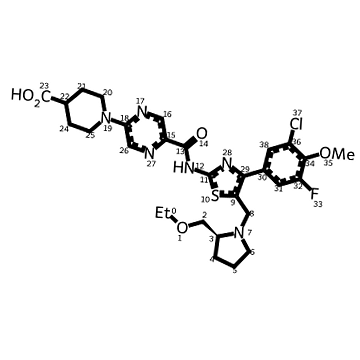 CCOC[C@@H]1CCCN1Cc1sc(NC(=O)c2cnc(N3CCC(C(=O)O)CC3)cn2)nc1-c1cc(F)c(OC)c(Cl)c1